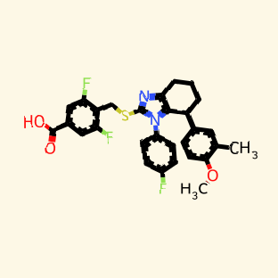 COc1ccc(C2CCCc3nc(SCc4c(F)cc(C(=O)O)cc4F)n(-c4ccc(F)cc4)c32)cc1C